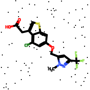 Cn1nc(C(F)(F)F)cc1COc1cc(Cl)c2c(CC(=O)O)csc2c1